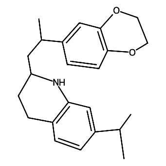 CC(C)c1ccc2c(c1)NC(CC(C)c1ccc3c(c1)OCCO3)CC2